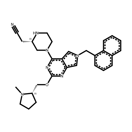 CN1CCC[C@H]1COc1nc(N2CCN[C@@H](CC#N)C2)c2cn(Cc3cccc4ccccc34)cc2n1